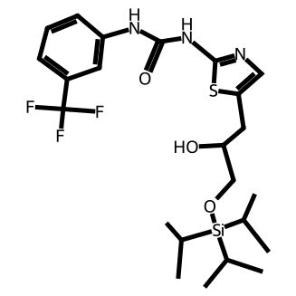 CC(C)[Si](OCC(O)Cc1cnc(NC(=O)Nc2cccc(C(F)(F)F)c2)s1)(C(C)C)C(C)C